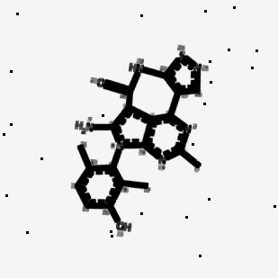 Cc1nc2c3c(c(N)n(-c4c(C)ccc(O)c4C)c3n1)C(=O)Nc1sncc1-2